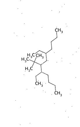 CCCCC([CH]C(C(CC)CCCC)C(C)(C)C)CC